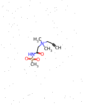 C#CC[N+](C)(C)CC(=O)NS(C)(=O)=O